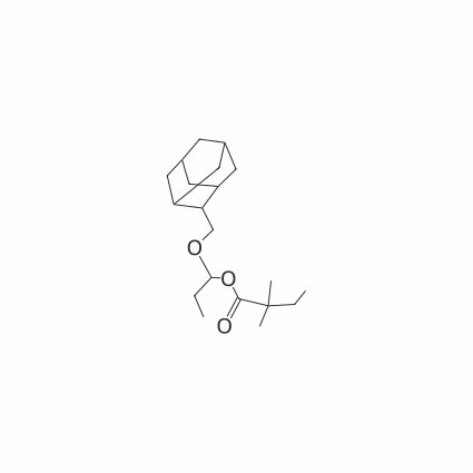 CCC(OCC1C2CC3CC(C2)CC1C3)OC(=O)C(C)(C)CC